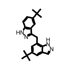 CC(C)(C)c1cc(Cc2n[nH]c3ccc(C(C)(C)C)cc23)c2[nH]ncc2c1